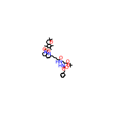 Cc1c(C)c(S(=O)(=O)N2CCCc3ccc(CCCCC(=O)NCC(NC(=O)OCc4ccccc4)C(=O)OC(C)(C)C)nc32)c(C)c2c1OC(C)(C)CC2